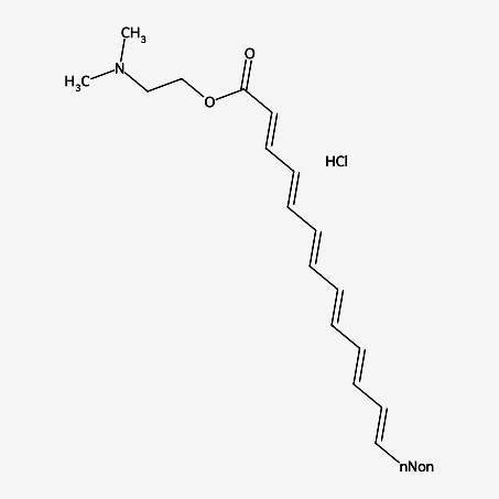 CCCCCCCCCC=CC=CC=CC=CC=CC=CC(=O)OCCN(C)C.Cl